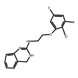 Fc1cc(F)c(Cl)c(OCCNC2=Nc3ccccc3CN2)c1